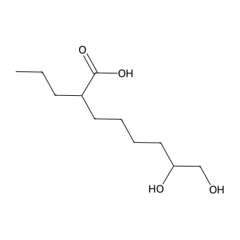 CCCC(CCCCC(O)CO)C(=O)O